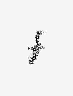 Cc1ncsc1-c1ccc([C@H](C)NC(=O)[C@@H]2C[C@@H](O)CN2C(=O)[C@@H](NC(=O)COCC2CCN(C(=O)OC(C)(C)C)CC2)C(C)(C)C)cc1Cl